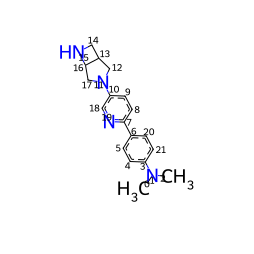 CN(C)c1ccc(-c2ccc(N3CC4CNC4C3)cn2)cc1